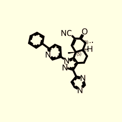 C[C@H]1C(=O)C(C#N)=C[C@@]2(C)c3c(c(-c4ccncn4)nn3-c3ccc(-c4ccccc4)nc3)CC[C@H]12